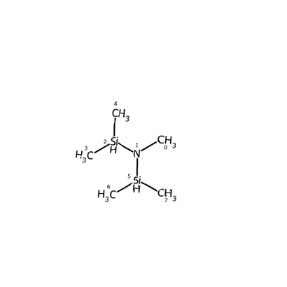 CN([SiH](C)C)[SiH](C)C